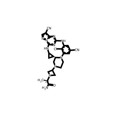 C[C@H](C(N)=O)N1CC(N2CCN(c3cc(C#N)cc(Nc4nc(NC5CC5)n5ncc(C#N)c5n4)c3Cl)CC2)C1